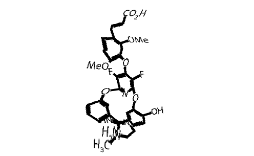 COc1ccc(C=CC(=O)O)c(OC)c1Oc1c(F)c(Oc2cccc(C3=NCCN3C)c2)nc(Oc2cc(C(=N)N)ccc2O)c1F